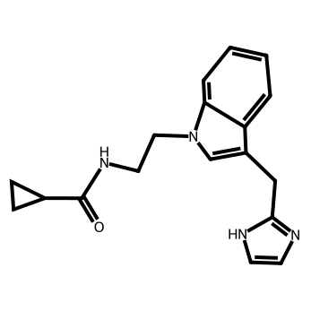 O=C(NCCn1cc(Cc2ncc[nH]2)c2ccccc21)C1CC1